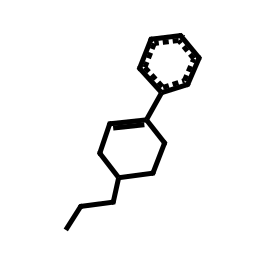 CCCC1CC=C(c2cc[c]cc2)CC1